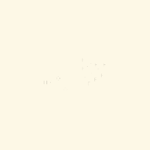 COC(=O)C=CC(F)(F)C(F)(C(F)(F)F)C(F)(F)F